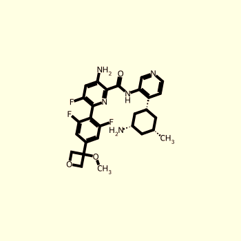 COC1(c2cc(F)c(-c3nc(C(=O)Nc4cnccc4[C@@H]4C[C@H](C)C[C@H](N)C4)c(N)cc3F)c(F)c2)COC1